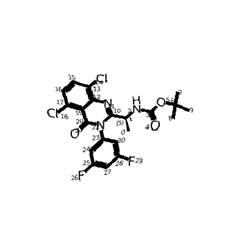 C[C@H](NC(=O)OC(C)(C)C)c1nc2c(Cl)ccc(Cl)c2c(=O)n1-c1cc(F)cc(F)c1